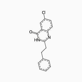 O=c1[nH]c(CCc2ccccc2)nc2ccc(Cl)cc12